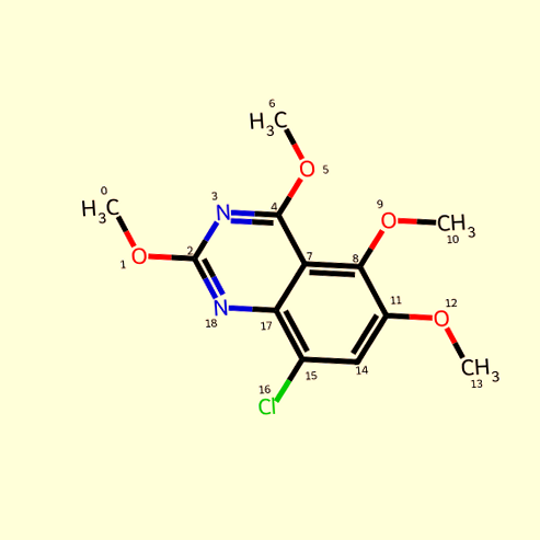 COc1nc(OC)c2c(OC)c(OC)cc(Cl)c2n1